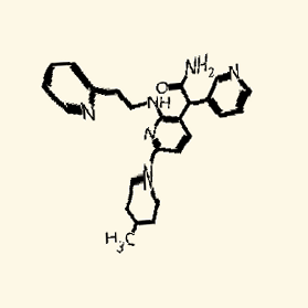 CC1CCN(c2ccc(C(C(N)=O)c3cccnc3)c(NCCc3ccccn3)n2)CC1